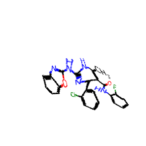 CC1=C(C(=O)Nc2ccccc2F)C(c2ccccc2Cl)N=C(Nc2nc3ccccc3o2)N1